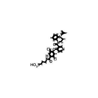 O=C(NCCCS(=O)(=O)O)c1cc(Cl)c(Oc2ccncc2C(=O)N2CCN(C3CC3)c3ccccc32)cc1Cl